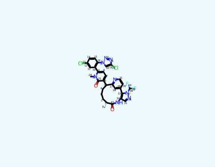 C[C@@H]1CCCC(c2ccc(-c3cc(Cl)ccc3-n3cc(Cl)nn3)n(C)c2=O)c2cc(ccn2)-c2c(cnn2C(F)F)NC1=O